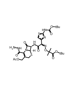 CC(=O)OCC1=C(C(=O)NN)N2C(=O)[C@@H](NC(=O)/C(=N\OC(C)(C)C(=O)OC(C)(C)C)c3csc(NC(=O)OC(C)(C)C)n3)[C@H]2SC1